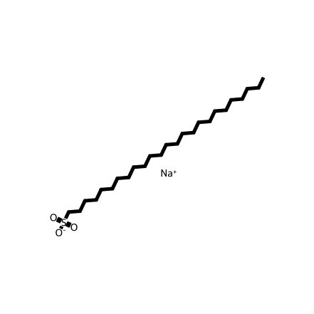 CCCCCCCCCCCCCCCCCCCCCCCCCS(=O)(=O)[O-].[Na+]